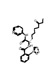 CCC(=O)CCCCC[C@H](NC(=O)c1ccccc1-n1cnnn1)C(=O)Nc1cccnc1